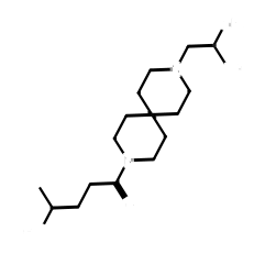 CCCCCC(C)CCC(=O)N1CCC2(CCN(CC(CCCC)CCCC)CC2)CC1